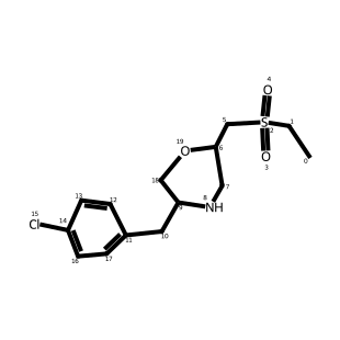 CCS(=O)(=O)CC1CNC(Cc2ccc(Cl)cc2)CO1